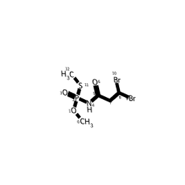 COP(=O)(NC(=O)CC(Br)Br)SC